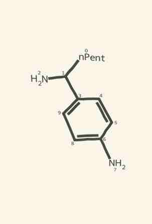 CCCCCC(N)c1ccc(N)cc1